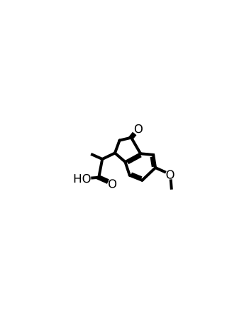 COc1ccc2c(c1)C(=O)CC2C(C)C(=O)O